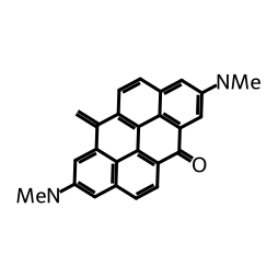 C=c1c2cc(NC)cc3ccc4c(c32)c2c1ccc1cc(NC)cc(c12)C4=O